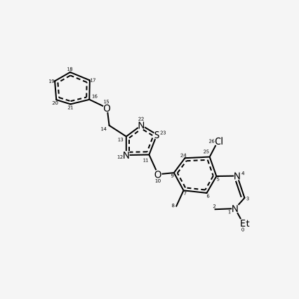 CCN(C)/C=N\c1cc(C)c(Oc2nc(COc3ccccc3)ns2)cc1Cl